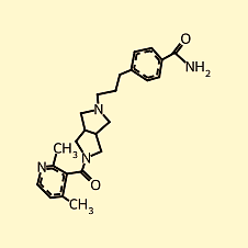 Cc1ccnc(C)c1C(=O)N1CC2CN(CCCc3ccc(C(N)=O)cc3)CC2C1